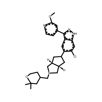 COc1cc(-c2n[nH]c3cc(Cl)c(C4C[C@@H]5CN(CC6CCOC(C)(C)C6)C[C@@H]5C4)cc23)ccn1